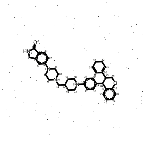 O=C1NCc2cc(N3CCN(CC4CCN(c5ccc(C6c7ccccc7OCC6C6=CCCC=C6)cc5)CC4)CC3)ccc21